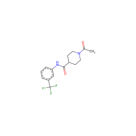 CC(=O)N1CCC(C(=O)Nc2[c]ccc(C(F)(F)F)c2)CC1